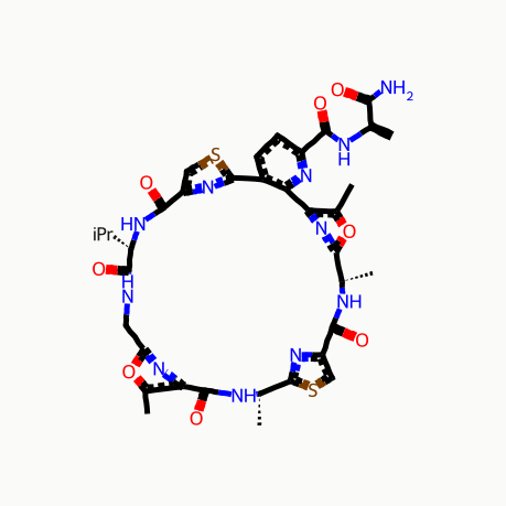 C=C(NC(=O)c1ccc2c(n1)-c1nc(oc1C)[C@H](C)NC(=O)c1csc(n1)[C@H](C)NC(=O)c1nc(oc1C)CNC(=O)[C@H](C(C)C)NC(=O)c1csc-2n1)C(N)=O